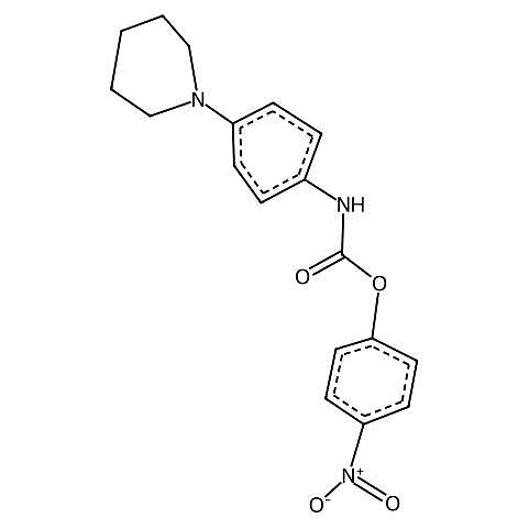 O=C(Nc1ccc(N2CCCCC2)cc1)Oc1ccc([N+](=O)[O-])cc1